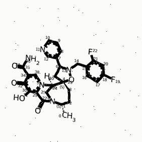 C[C@H]1CC[C@]2(CC(c3cccnc3)N(Cc3ccc(F)cc3F)O2)[C@H]2CN1C(=O)c1c(O)c(=O)c(C(N)=O)cn12